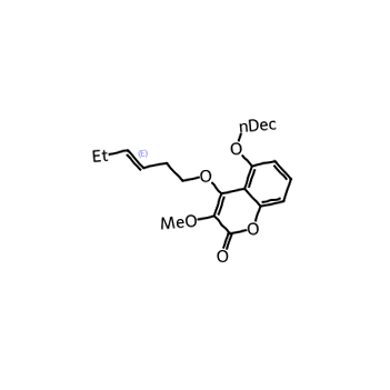 CC/C=C/CCOc1c(OC)c(=O)oc2cccc(OCCCCCCCCCC)c12